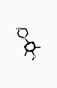 COc1c(C)cc(N2CCNCC2)cc1C